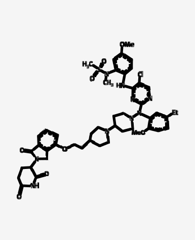 CCc1ccc(OC)c(N(c2ncc(Cl)c(Nc3ccc(OC)cc3N(C)S(C)(=O)=O)n2)N2CCC(N3CCC(CCOc4cccc5c4CN(C4CCC(=O)NC4=O)C5=O)CC3)CC2)c1